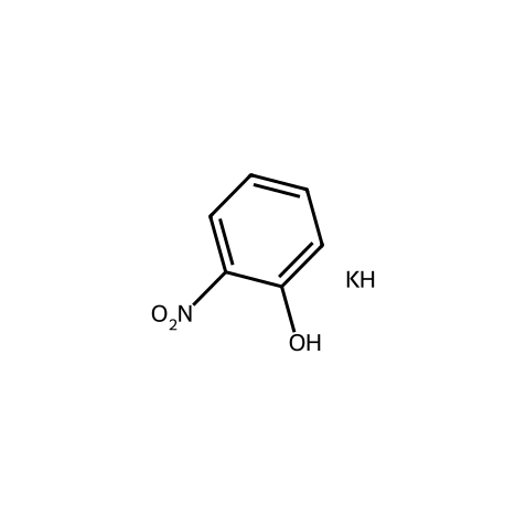 O=[N+]([O-])c1ccccc1O.[KH]